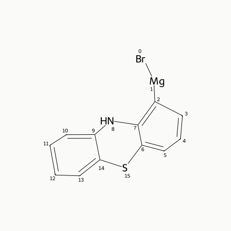 [Br][Mg][c]1cccc2c1Nc1ccccc1S2